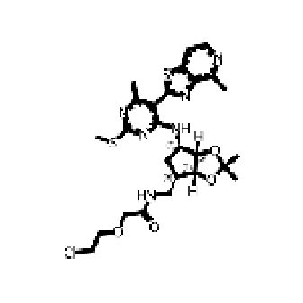 CSc1nc(C)c(-c2nc3c(C)nccc3s2)c(N[C@@H]2C[C@H](CNC(=O)COCCCl)[C@H]3OC(C)(C)O[C@H]32)n1